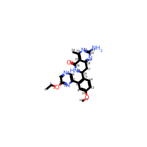 CCOc1cncc(-c2cc(OC)ccc2C2Cc3nc(N)nc(C)c3C(=O)N2)n1